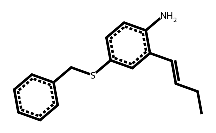 CC/C=C/c1cc(SCc2ccccc2)ccc1N